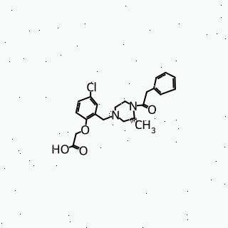 C[C@@H]1CN(Cc2cc(Cl)ccc2OCC(=O)O)CCN1C(=O)Cc1ccccc1